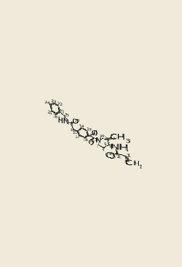 C=CC(=O)NC1CCN(S(=O)(=O)c2ccc(CC(=O)NCc3ccccc3)cc2)CC1C